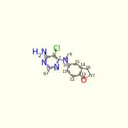 Cc1nc(N)c(Cl)c(N(C)c2ccc3c(c2)CCO3)n1